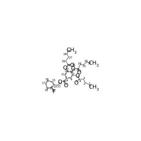 CCCCC(=O)Oc1cc(C(=O)OCc2ccccc2F)cc(OC(=O)CCCC)c1OC(=O)CCCC